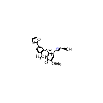 C#C/C=C/Cn1cc(OC)c(=O)nc1Nc1cc(-c2ncco2)ccc1C